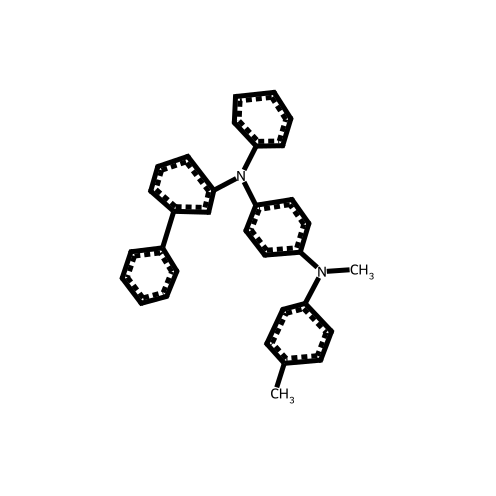 Cc1ccc(N(C)c2ccc(N(c3ccccc3)c3cccc(-c4ccccc4)c3)cc2)cc1